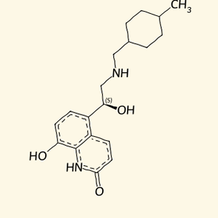 CC1CCC(CNC[C@@H](O)c2ccc(O)c3[nH]c(=O)ccc23)CC1